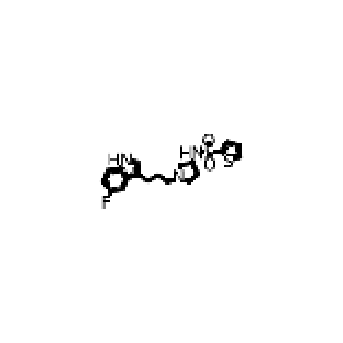 O=S(=O)(NC1CCN(CCCc2c[nH]c3ccc(F)cc23)C1)c1cccs1